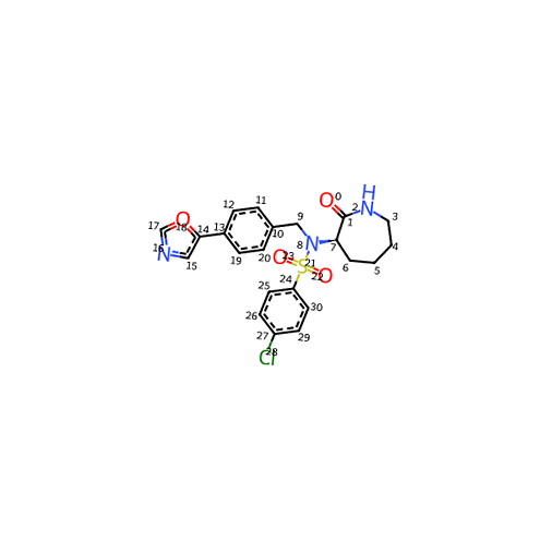 O=C1NCCCC[C@H]1N(Cc1ccc(-c2cnco2)cc1)S(=O)(=O)c1ccc(Cl)cc1